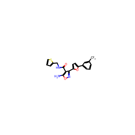 Nc1onc(-c2ccc(-c3cccc(C(F)(F)F)c3)o2)c1C(=O)NCc1cccs1